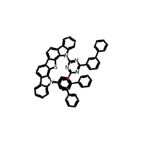 c1ccc(-c2cccc(-c3nc(-c4ccccc4-c4ccccc4)nc(-n4c5ccccc5c5ccc6c7ccc8c9ccccc9n(-c9cccc(-c%10ccccc%10)c9)c8c7sc6c54)n3)c2)cc1